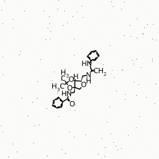 C=C(NC[C@H]1OC[C@]2(CNC(=O)c3ccccc3)OC(C)(C)O[C@H]12)Nc1ccccc1